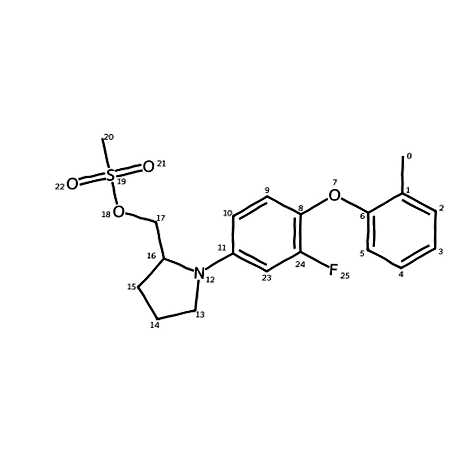 Cc1ccccc1Oc1ccc(N2CCCC2COS(C)(=O)=O)cc1F